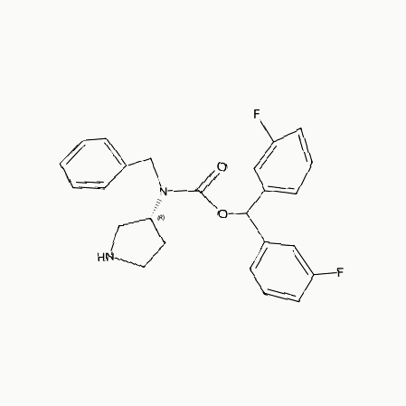 O=C(OC(c1cccc(F)c1)c1cccc(F)c1)N(Cc1ccccc1)[C@@H]1CCNC1